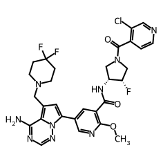 COc1ncc(-c2cc(CN3CCC(F)(F)CC3)c3c(N)ncnn23)cc1C(=O)N[C@@H]1CN(C(=O)c2ccncc2Cl)C[C@@H]1F